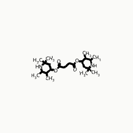 CC1NC(C)(C)CC(OC(=O)CCC(=O)OC2CC(C)(C)NC(C)C2C)C1C